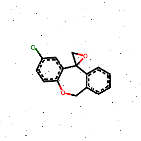 Clc1ccc2c(c1)C1(CO1)c1ccccc1CO2